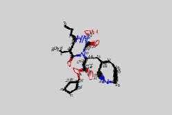 C=CCCC(CC(C)C)C(=O)N(C(=O)NO)[C@@H](Cc1cccnc1)C(=O)OC1CCCC1